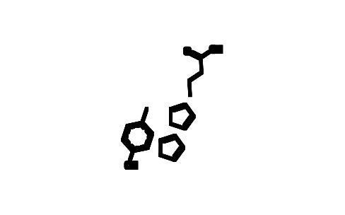 C1=CCC=C1.C1=CCC=C1.CCCC(=O)O.Cc1ccc(O)cc1